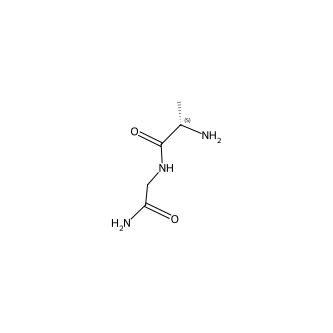 C[C@H](N)C(=O)NCC(N)=O